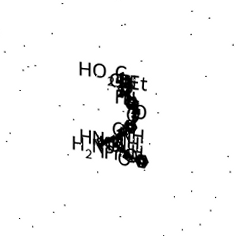 CCn1cc(C(=O)O)c(=O)c2cc(F)c(N3CCN(C(=O)OCc4ccc(NC(=O)[C@H](CCCNC(=N)N)NC(=O)C(NC(=O)OCc5ccccc5)C(C)C)cc4)CC3)cc21